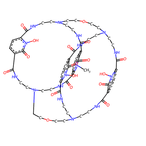 Cn1c2ccc(c1=O)C(=O)NCCN1CCNC(=O)c3ccc(c(=O)n3O)C(=O)NCCN(CCNC2=O)CCOCCN2CCNC(=O)c3ccc(n(O)c3=O)C(=O)NCCN(CCNC(=O)c3ccc(n(O)c3=O)C(=O)NCC2)CCOCC1